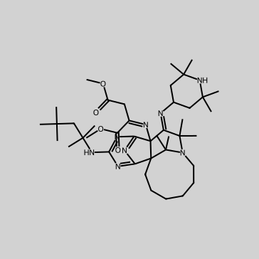 COC(=O)CC(=NC12C(=NC3CC(C)(C)NC(C)(C)C3)C(C)(C)N3CCCCCCC1(c1nc(NC(C)(C)CC(C)(C)C)nc2n1)C3(C)C)C(=O)OC